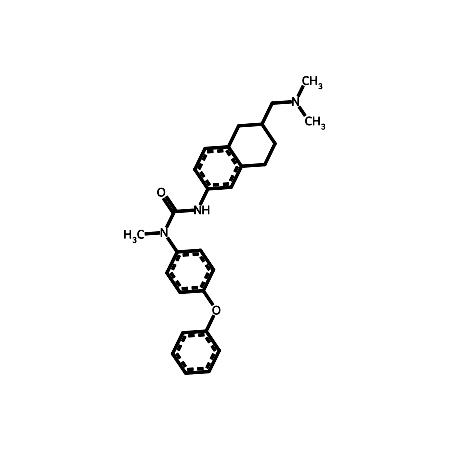 CN(C)CC1CCc2cc(NC(=O)N(C)c3ccc(Oc4ccccc4)cc3)ccc2C1